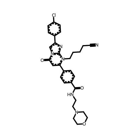 N#CCCCCn1c(-c2ccc(C(=O)NCCN3CCOCC3)cc2)cc(=O)n2cc(-c3ccc(Cl)cc3)nc12